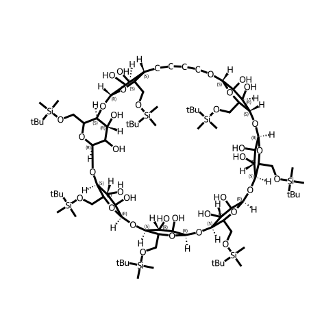 CC(C)(C)[Si](C)(C)OCC1O[C@@H]2O[C@@H]3C(CO[Si](C)(C)C(C)(C)C)O[C@H](O[C@@H]4C(CO[Si](C)(C)C(C)(C)C)O[C@H](O[C@@H]5C(CO[Si](C)(C)C(C)(C)C)O[C@H](O[C@@H]6C(CO[Si](C)(C)C(C)(C)C)O[C@H](O[C@@H]7C(CO[Si](C)(C)C(C)(C)C)O[C@H](O[C@@H]8C(CO[Si](C)(C)C(C)(C)C)O[C@H](OCCCC[C@H]1[C@H](O)C2O)C(O)[C@H]8O)C(O)[C@H]7O)C(O)[C@H]6O)C(O)[C@H]5O)C(O)[C@H]4O)C(O)[C@H]3O